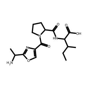 CCC(C)C(NC(=O)C1CCCN1C(=O)c1coc(C(C)N)n1)C(=O)O